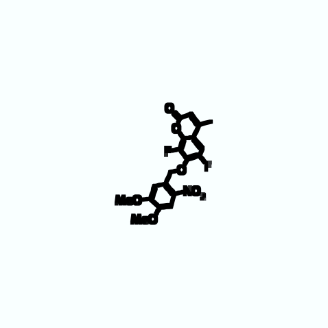 COc1cc(COc2c(F)cc3c(C)cc(=O)oc3c2F)c([N+](=O)[O-])cc1OC